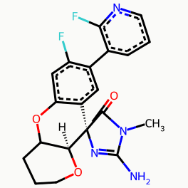 CN1C(=O)[C@]2(N=C1N)c1cc(-c3cccnc3F)c(F)cc1OC1CCCO[C@@H]12